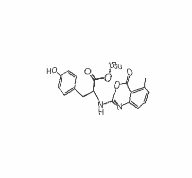 Cc1cccc2nc(NC(Cc3ccc(O)cc3)C(=O)OC(C)(C)C)oc(=O)c12